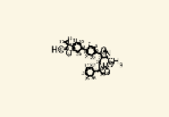 Cc1noc(-c2ccc(-c3ccc(C4(C(=O)O)CC4)cc3)cc2)c1CN1C(=O)OCC1c1ccccc1